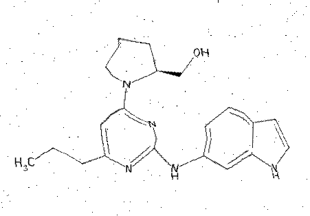 CCCc1cc(N2CCC[C@H]2CO)nc(Nc2ccc3cc[nH]c3c2)n1